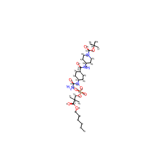 CCCCCCOC(=O)C(C)(C)COS(=O)(=O)ON(C(N)=O)C1CCC(C(=O)NC2CCN(C(=O)OC(C)(C)C)CC2)CC1